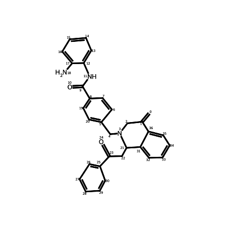 C=C1CN(Cc2ccc(C(=O)Nc3ccccc3N)cc2)C(CC(=O)c2ccccc2)c2ccccc21